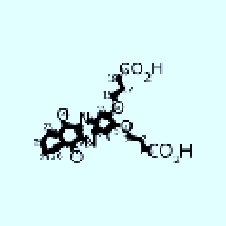 O=C(O)CCCOc1cc2nc3c(nc2cc1OCCCC(=O)O)C(=O)c1ccccc1C3=O